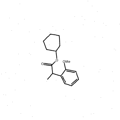 COc1ccccc1C(C)C(=O)OC1CCCCC1